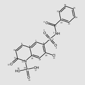 O=C(NS(=O)(=O)c1cc2c[c]c(=O)n(P(=O)(O)O)c2cc1Cl)c1ccccc1